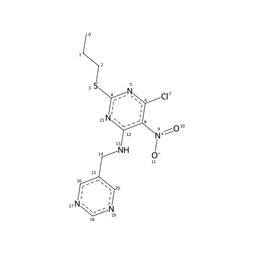 CCCSc1nc(Cl)c([N+](=O)[O-])c(NCc2cncnc2)n1